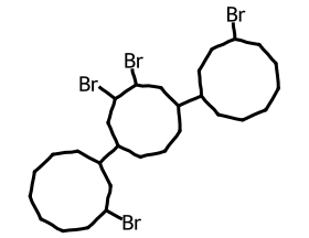 BrC1CCCCCCC(C2CCCC(C3CCCCCCCC(Br)C3)CC(Br)C(Br)C2)CC1